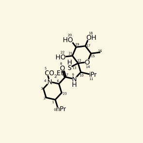 CCCC1CCN(C(=O)OCC)C(C(=O)NC(C(C)C)C2(S)OC(C)C(O)C(O)C2O)C1